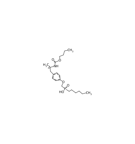 CCCCCCP(=O)(O)COc1ccc(C[C@@H](C)NC(=O)OCCCC)cc1